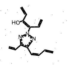 C=C/C=C\c1nn(/C(C=C)=C(\O)C=C)nc1C=C